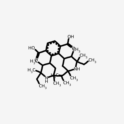 CCC1(C)CC(c2c(C(=O)O)ccc(C(=O)O)c2C2CC(C)(CC)NC(C)(CC)C2C)C(C)C(C)(CC)N1